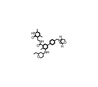 CCC1CC(Nc2cc(-c3ccc(CN4C[C@@H]5C[C@H]4CO5)cc3)cc(C(=O)NCc3c(C)cc(C)[nH]c3=O)c2C)CCO1